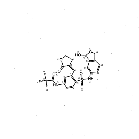 O=C1OCC/C1=C/c1cc(NC(=O)C(F)(F)F)ccc1S(=O)(=O)Nc1ccc2c(c1)B(O)OC2